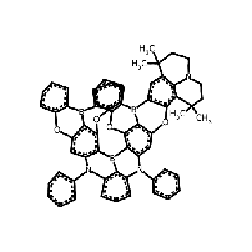 CC1(C)CCN2CCC(C)(C)c3c4c(cc1c32)B1c2ccccc2Oc2c1c(cc1c2B2c3c(cccc3N1c1ccccc1)N(c1ccccc1)c1cc3c5c(c12)Oc1ccccc1B5c1ccccc1O3)O4